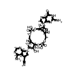 N#Cc1cn([C@@H]2O[C@@H]3COP(=O)(O)O[C@@H]4[C@H](O)[C@@H](COP(=O)(O)O[C@H]3[C@H]2O)O[C@H]4n2cnc3c(=O)[nH]c(N)nc32)c2ncnc(N)c12